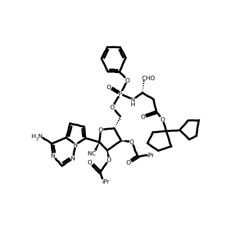 CC(C)C(=O)O[C@H]1[C@@H](OC(=O)C(C)C)[C@](C#N)(c2ccc3c(N)ncnn23)O[C@@H]1COP(=O)(N[C@H](C=O)CC(=O)OC1(C2CCCC2)CCCC1)Oc1ccccc1